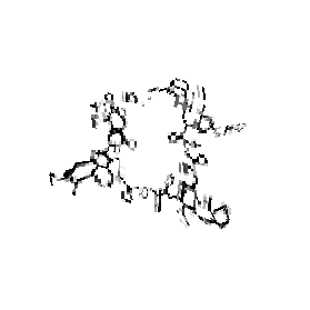 CC[C@@]1(O)C(=O)OCc2c1cc1n(c2=O)Cc2c-1nc1cc(F)c(C)c3c1c2[C@@H](NC(=O)COCNC(=O)CNC(=O)[C@H](Cc1ccccc1)NC(=O)CNC(=O)CNC(=O)C(CNC(CCC(=O)O)C(=O)O)N1CC(C=O)=CC1=O)CC3